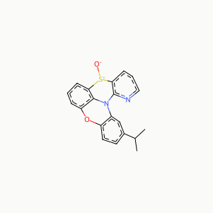 CC(C)c1ccc2c(c1)N1c3ncccc3[S+]([O-])c3cccc(c31)O2